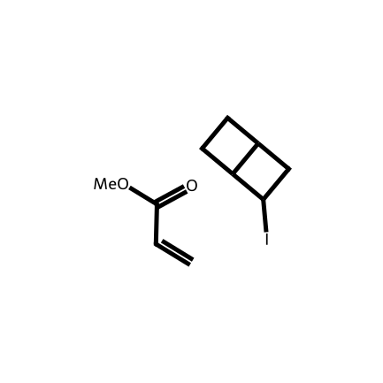 C=CC(=O)OC.IC1CC2CCC12